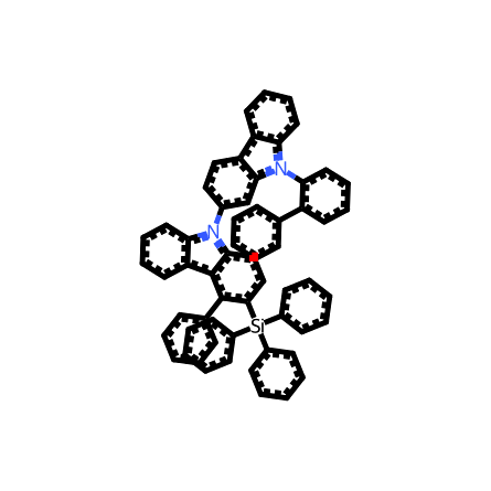 c1ccc(-c2ccccc2-n2c3ccccc3c3ccc(-n4c5ccccc5c5c(-c6ccccc6)c([Si](c6ccccc6)(c6ccccc6)c6ccccc6)ccc54)cc32)cc1